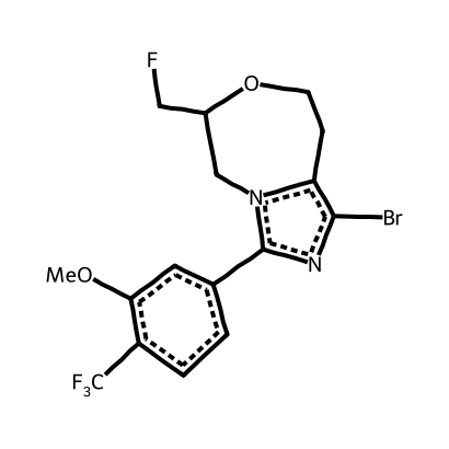 COc1cc(-c2nc(Br)c3n2CC(CF)OCC3)ccc1C(F)(F)F